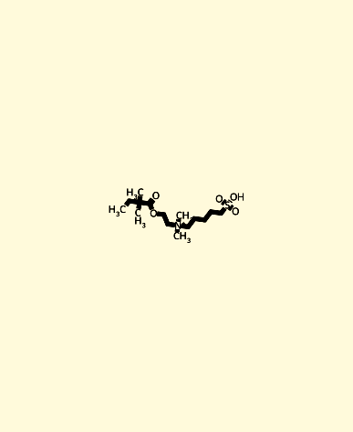 CCC(C)(C)C(=O)OCC[N+](C)(C)CCCCCS(=O)(=O)O